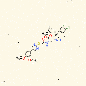 COc1ccc(-c2cnc(SCC(=O)NC(C[C@@H]3C[C@@H](Cc4ccc(Cl)c(Cl)c4)CN3)C(=O)OC(C)(C)C)nc2)cc1OC